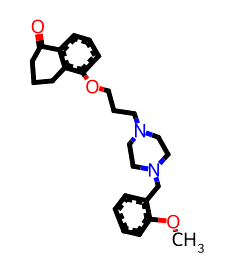 COc1ccccc1CN1CCN(CCCOc2cccc3c2CCCC3=O)CC1